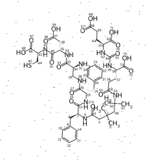 CC(C)(CC(=O)N[C@@H](Cc1ccccc1)C(=O)N[C@@H](Cc1ccccc1)C(=O)NC[C@H](N)C(=O)N[C@@H](CC(=O)O)C(=O)N[C@@H](CS)C(=O)O)CC(C)(C)NC(=O)CC[C@H](NC(=O)N[C@@H](CCC(=O)O)C(=O)O)C(=O)O